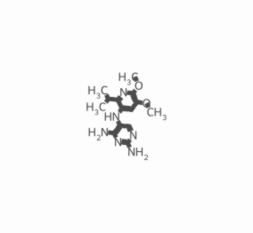 COc1cc(Nc2cnc(N)nc2N)c(C(C)C)nc1OC